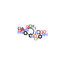 COC(=O)Nc1ccc2c(c1)NC(=O)[C@H](C)CCC[C@H](C(=O)N1CCC[C@@]3(C1)OC(=O)Nc1ccc(Cl)cc13)c1cc-2ccn1